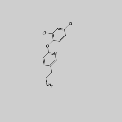 NCCc1ccc(Oc2ccc(Cl)cc2Cl)nc1